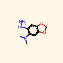 CN(C)c1cc2c(cc1NN)OCO2